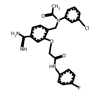 CC(=O)N(Cc1ccc(C(=N)N)cc1OCC(=O)Nc1ccc(F)cc1)c1cccc(Cl)c1